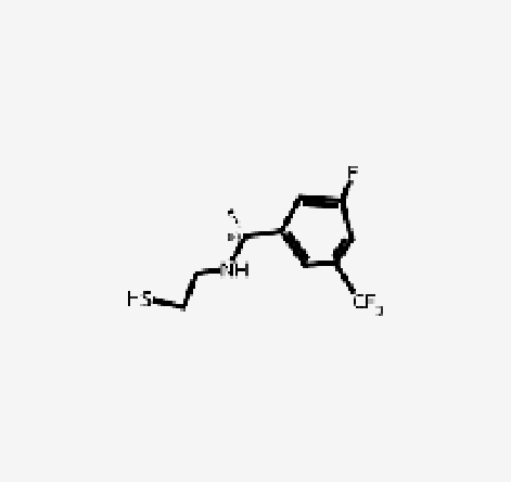 C[C@@H](NCCS)c1cc(F)cc(C(F)(F)F)c1